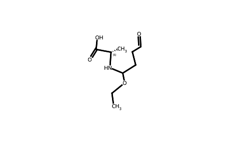 CCOC(CCC=O)N[C@@H](C)C(=O)O